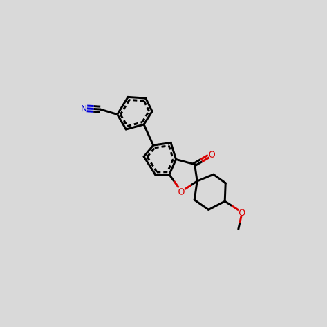 COC1CCC2(CC1)Oc1ccc(-c3cccc(C#N)c3)cc1C2=O